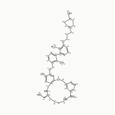 Cc1c(COc2cc3c(cc2Cl)CN[C@H](CO)CCCCNC(=O)c2cncc(c2)CO3)cccc1-c1cccc(OCCCN2CCC(O)CC2)c1C